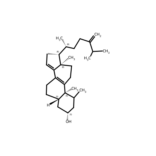 C=C(CC[C@@H](C)[C@H]1CC=C2C3=C(CC[C@@]21C)[C@@]1(C)C(C)C[C@H](O)C[C@@H]1CC3)C(C)C